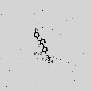 COc1cc(-n2ccnc(Sc3ccc(C(C)C)cc3)c2=O)ccc1OCC(C)(C)O